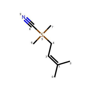 CC(C)=CCS(C)(C)C#N